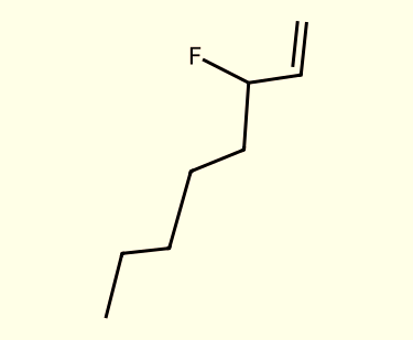 C=CC(F)CCCCC